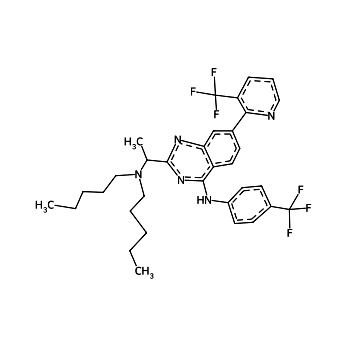 CCCCCN(CCCCC)C(C)c1nc(Nc2ccc(C(F)(F)F)cc2)c2ccc(-c3ncccc3C(F)(F)F)cc2n1